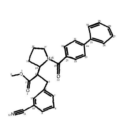 COC(=O)C(Cc1cccc(C#N)c1)C1CCCN1C(=O)c1ccc(-c2ccccc2)cc1